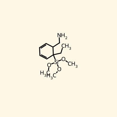 CCC1([Si](OC)(OC)OC)C=CC=CC1CN